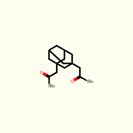 CC(C)(C)C(=O)CC12CC3CC(C1)CC(CC(=O)C(C)(C)C)(C3)C2